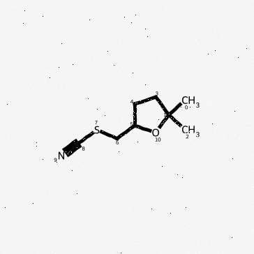 CC1(C)CCC(CSC#N)O1